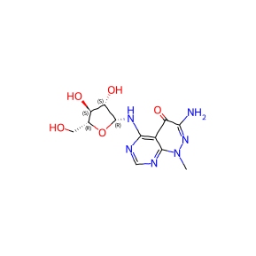 Cn1nc(N)c(=O)c2c(N[C@@H]3O[C@H](CO)[C@@H](O)[C@@H]3O)ncnc21